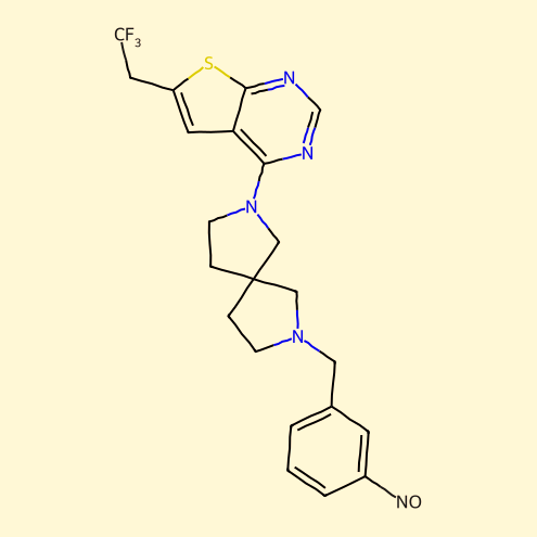 O=Nc1cccc(CN2CCC3(CCN(c4ncnc5sc(CC(F)(F)F)cc45)C3)C2)c1